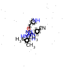 Cc1cc(C)c(Nc2nc(Nc3ccc(C#N)cc3)nc(OCCC3CCNCC3)n2)c(C)c1